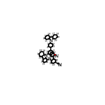 N#Cc1cc(-c2ccc(-n3c4ccccc4c4ccccc43)cc2)cc(-n2c3ccccc3c3cccc(-n4c5ccccc5c5cc(C#N)ccc54)c32)c1